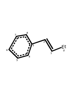 [CH]CC=Cc1ccccc1